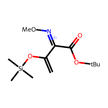 C=C(O[Si](C)(C)C)/C(=N\OC)C(=O)OC(C)(C)C